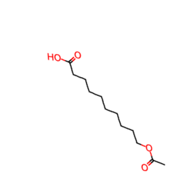 CC(=O)OCCCCCCCCCC(=O)O